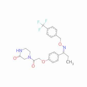 CCC(=NOCc1ccc(C(F)(F)F)cc1)c1ccc(OCC(=O)N2CCNC(=O)C2)cc1